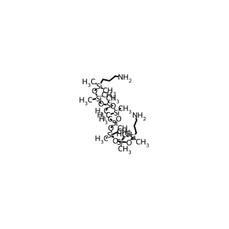 C[Si](C)(CCCN)O[Si](C)(C)O[Si](C)(C)O[Si](C)(C)O[Si](C)(C)O[Si](C)(C)O[Si](C)(C)O[Si](C)(C)CCCN